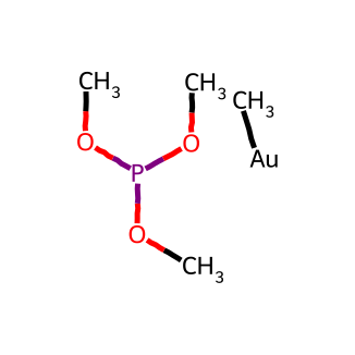 COP(OC)OC.[CH3][Au]